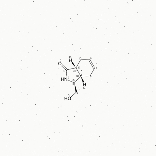 O=C1N[C@H](CO)[C@H]2CC=CC[C@@H]12